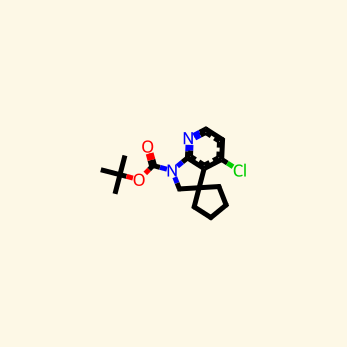 CC(C)(C)OC(=O)N1CC2(CCCC2)c2c(Cl)ccnc21